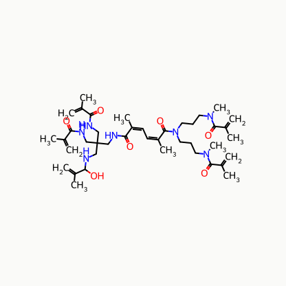 C=C(C)C(=O)NCC(CNC(=O)C(=C)C)(CNC(=O)/C(C)=C\C=C(\C)C(=O)N(CCCN(C)C(=O)C(=C)C)CCCN(C)C(=O)C(=C)C)CNC(O)C(=C)C